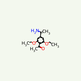 CCOc1cc([C@@H](C)N)cc(OCC)c1C(C)=O